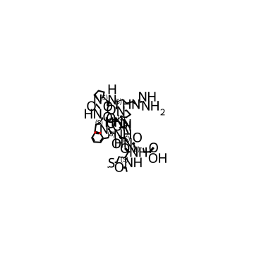 CSCC[C@H](NC(C)=O)C(=O)N[C@@H](CCC(=O)O)C(=O)N[C@@H](Cc1c[nH]cn1)C(=O)N[C@@H](Cc1ccccc1)C(=O)N1CCC[C@H]1C(=O)NCC(=O)N1CCC[C@H]1C(=O)N[C@@H](CCCNC(=N)N)C(=O)N1CCC[C@H]1C(=O)O